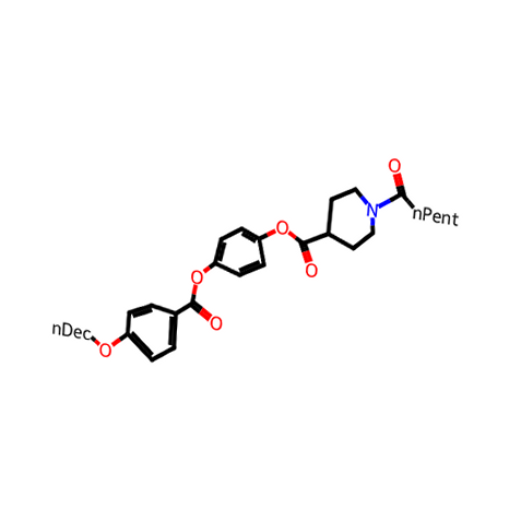 CCCCCCCCCCOc1ccc(C(=O)Oc2ccc(OC(=O)C3CCN(C(=O)CCCCC)CC3)cc2)cc1